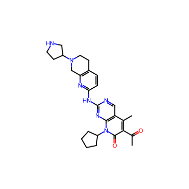 CC(=O)c1c(C)c2cnc(Nc3ccc4c(n3)CN(C3CCNC3)CC4)nc2n(C2CCCC2)c1=O